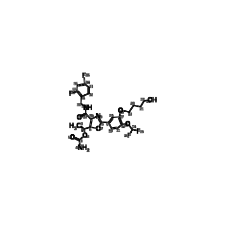 C[C@H](OC(N)=O)c1oc(-c2ccc(OC(F)F)c(OCCCCO)c2)nc1C(=O)NCc1ccc(F)cc1F